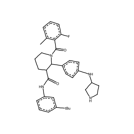 Cc1cccc(F)c1C(=O)N1CCCC(C(=O)Nc2cccc(C(C)(C)C)c2)C1c1ccc(NC2CCNC2)cc1